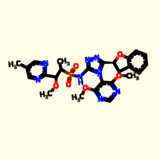 COc1ncnc(OC)c1-n1c(NS(=O)(=O)C(C)C(OC)c2ncc(C)cn2)nnc1[C@@H]1Cc2ccccc2O1